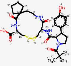 CC(C)(C)C(=O)N1CCC(c2ccc(O)cc2)C1C(=O)N[C@H]1CSSC[C@@H](C(=O)O)NC(=O)C2(CCCC2)CCNC1=O